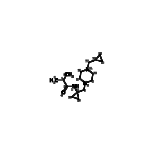 CC(C)C(=O)NC1(CN2CCN(CC3CC3)CC2)CC1